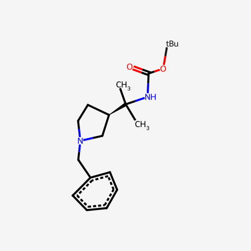 CC(C)(C)OC(=O)NC(C)(C)[C@@H]1CCN(Cc2ccccc2)C1